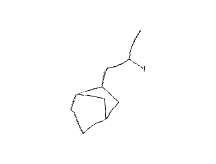 CC(I)CC1CC2CCC1C2